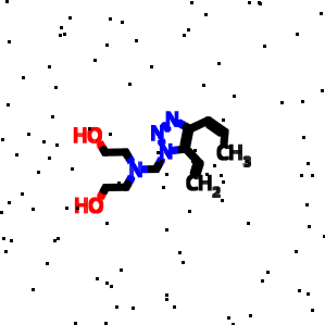 C=Cc1c(/C=C\C)nnn1CN(CCO)CCO